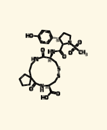 CS(=O)(=O)N1CC[C@@H](c2ccc(O)cc2)C1C(=O)N[C@H]1CSSC[C@@H](C(=O)O)NC(=O)C2(CCCC2)CCNC1=O